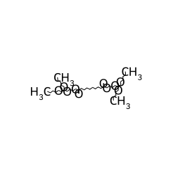 CCCCOCC(OCCCC)OCCOC(=O)CCCCCCCCC(=O)OCCOC(COCCCC)OCCCC